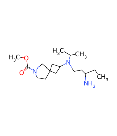 CCC(N)CCN(C(C)C)C1CC2(CCN(C(=O)OC)C2)C1